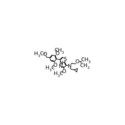 COCc1cc(OC)c(-c2csc3c(N(CCOC(C)C)CC4CC4)c(OC)nn23)c(OC)c1